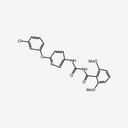 COc1cccc(OC)c1C(=O)NC(=O)Nc1ccc(Oc2cccc(Cl)c2)nc1